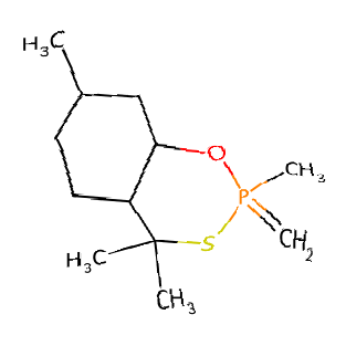 C=P1(C)OC2CC(C)CCC2C(C)(C)S1